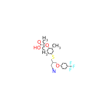 Cc1cc(SCC(CC#N)COc2ccc(C(F)(F)F)cc2)ccc1OC(C)(C)C(=O)O